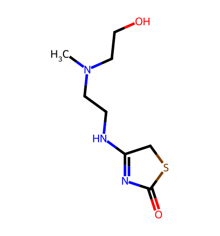 CN(CCO)CCNC1=NC(=O)SC1